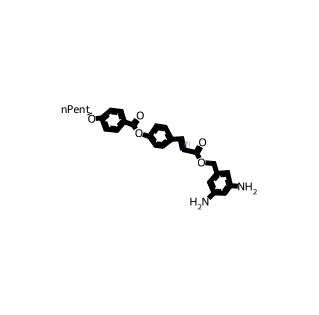 CCCCCOc1ccc(C(=O)Oc2ccc(/C=C/C(=O)OCc3cc(N)cc(N)c3)cc2)cc1